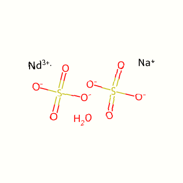 O.O=S(=O)([O-])[O-].O=S(=O)([O-])[O-].[Na+].[Nd+3]